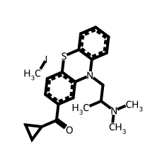 CC(CN1c2ccccc2Sc2ccc(C(=O)C3CC3)cc21)N(C)C.CI